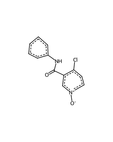 O=C(Nc1ccccc1)c1c[n+]([O-])ccc1Cl